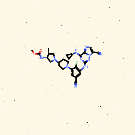 COC(=O)N[C@@H]1CN(C2CCN(c3cc(C#N)cc(Nc4nc(NC5CC5)c5ncc(C#N)n5n4)c3Cl)CC2)C[C@@H]1C